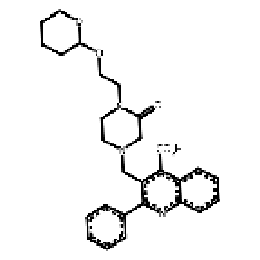 O=C(O)c1c(CN2CCN(CCOC3CCCCO3)C(=O)C2)c(-c2ccccc2)nc2ccccc12